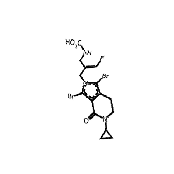 O=C(O)NCC(=CF)Cn1c(Br)c2c(c1Br)C(=O)N(C1CC1)CC2